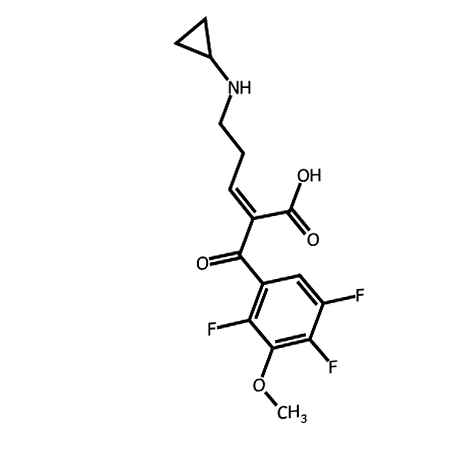 COc1c(F)c(F)cc(C(=O)C(=CCCNC2CC2)C(=O)O)c1F